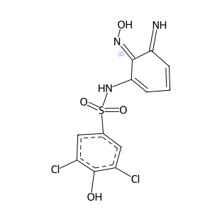 N=C1C=CC=C(NS(=O)(=O)c2cc(Cl)c(O)c(Cl)c2)/C1=N/O